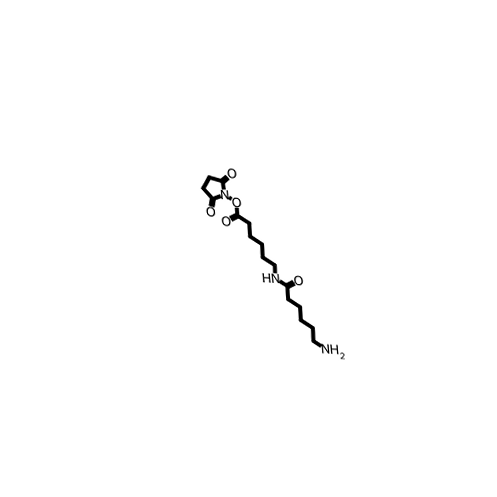 NCCCCCC(=O)NCCCCCC(=O)ON1C(=O)CCC1=O